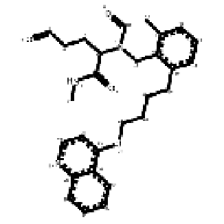 CNC(=O)C(CCC=O)N(C=O)Cc1c(C)cccc1CCCCOc1ccnc2ccccc12